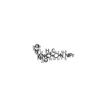 Cc1cc(N2CCN(C(C)C)CC2)ccc1-c1ccc2c(c1)OCc1nc(CN3CCOCC3)cn1-2